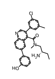 CC[C@H](N)CN(C)C(=O)c1c(-c2cc(C)cc(Cl)c2)cnc2ccc(-c3cccc(O)c3)cc12